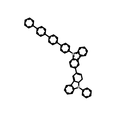 C1=C(c2ccc3c(c2)c2ccccc2n3-c2ccc(-c3ccc(-c4ccc(-c5ccccc5)cc4)cc3)cc2)C=C2c3ccccc3N(c3ccccc3)C2C1